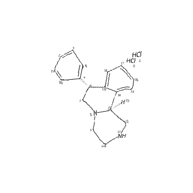 Cl.Cl.c1ccc([C@H]2CN3CCNC[C@@H]3c3ccccc32)cc1